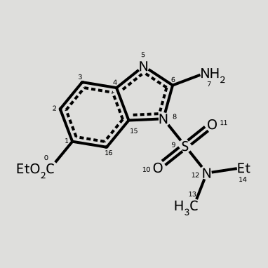 CCOC(=O)c1ccc2nc(N)n(S(=O)(=O)N(C)CC)c2c1